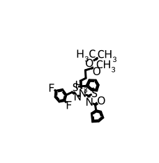 CS/C(=N\C(=O)c1ccccc1)N1N=C(c2cc(F)ccc2F)SC1(CCCC(=O)OC(C)(C)C)c1ccccc1